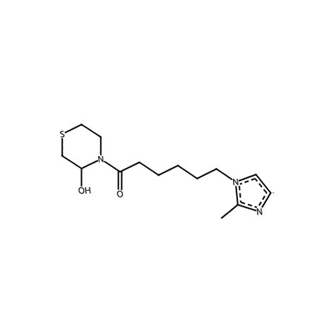 Cc1n[c]cn1CCCCCC(=O)N1CCSCC1O